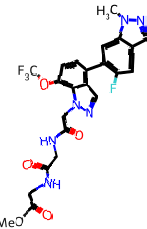 COC(=O)CNC(=O)CNC(=O)Cn1ncc2c(-c3cc4c(cnn4C)cc3F)ccc(OC(F)(F)F)c21